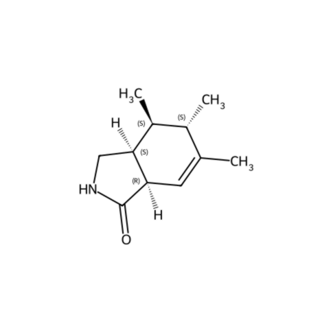 CC1=C[C@H]2C(=O)NC[C@H]2[C@@H](C)[C@@H]1C